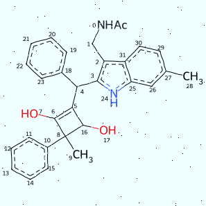 CC(=O)NCc1c(C(C2=C(O)C(C)(c3ccccc3)C2O)c2ccccc2)[nH]c2cc(C)ccc12